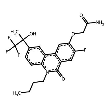 CCCCn1c(=O)c2cc(F)c(OCC(N)=O)cc2c2cc(C(C)(O)C(F)(F)F)ccc21